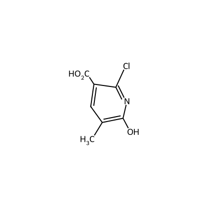 Cc1cc(C(=O)O)c(Cl)nc1O